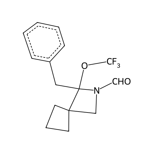 O=CN1CC2(CCC2)C1(Cc1ccccc1)OC(F)(F)F